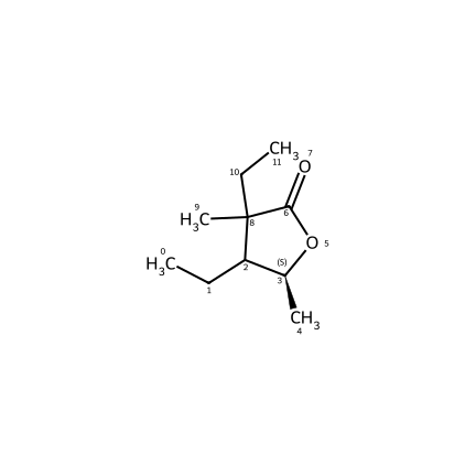 CCC1[C@H](C)OC(=O)C1(C)CC